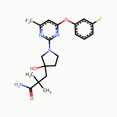 CC(C)(CC1(O)CCN(c2nc(Oc3cccc(F)c3)cc(C(F)(F)F)n2)C1)C(N)=O